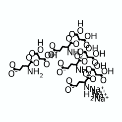 NC(CCC(=O)[O-])C(=O)OC(C(=O)O)C(=O)O.NC(CCC(=O)[O-])C(=O)OC(C(=O)O)C(=O)O.NC(CCC(=O)[O-])C(=O)OC(C(=O)O)C(=O)O.NC(CCC(=O)[O-])C(=O)OC(C(=O)O)C(=O)O.[Na+].[Na+].[Na+].[Na+]